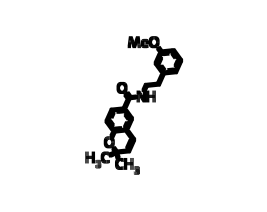 COc1cccc(CCNC(=O)c2ccc3c(c2)C=CC(C)(C)O3)c1